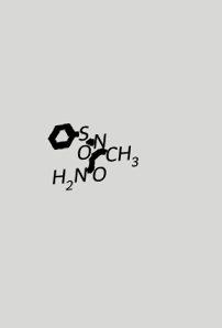 Cc1nc(Sc2ccccc2)oc1C(N)=O